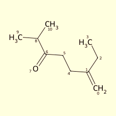 C=C(CC)CCC(=O)C(C)C